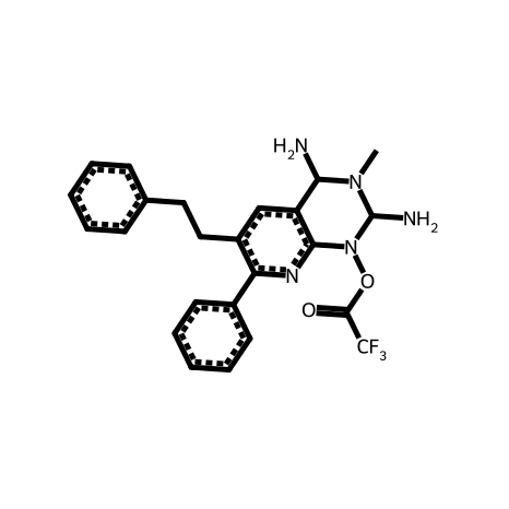 CN1C(N)c2cc(CCc3ccccc3)c(-c3ccccc3)nc2N(OC(=O)C(F)(F)F)C1N